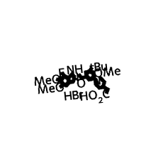 Br.COc1cc2c(c(F)c1OC)C(=N)N(CC(=O)c1cc(N3CCC(CC(=O)O)CC3)c(OC)c(C(C)(C)C)c1)C2